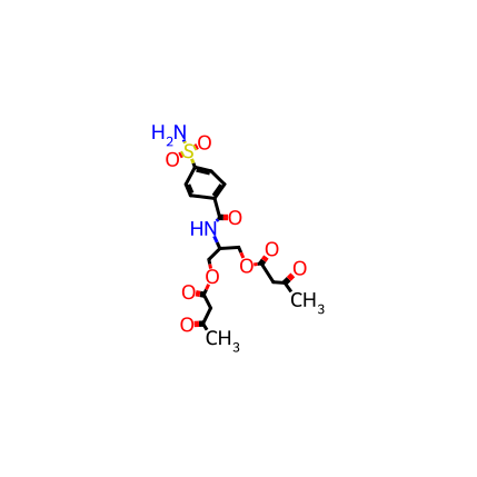 CC(=O)CC(=O)OCC(COC(=O)CC(C)=O)NC(=O)c1ccc(S(N)(=O)=O)cc1